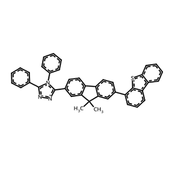 CC1(C)c2cc(-c3cccc4c3sc3ccccc34)ccc2-c2ccc(-c3nnc(-c4ccccc4)n3-c3ccccc3)cc21